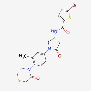 Cc1cc(N2CC(NC(=O)c3ccc(Br)s3)CC2=O)ccc1N1CCSCC1=O